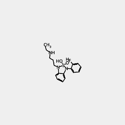 CCNCCCN1c2ccccc2N(c2ccccc2F)S1(O)O